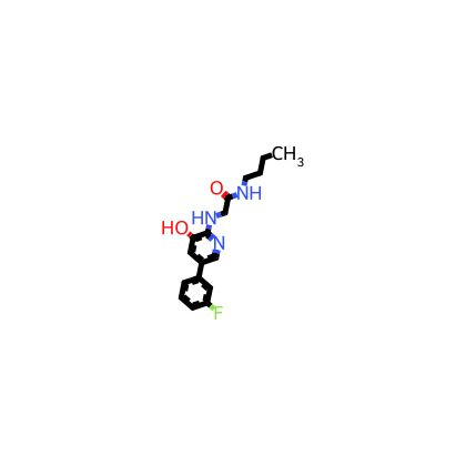 CCCCNC(=O)CNc1ncc(-c2cccc(F)c2)cc1O